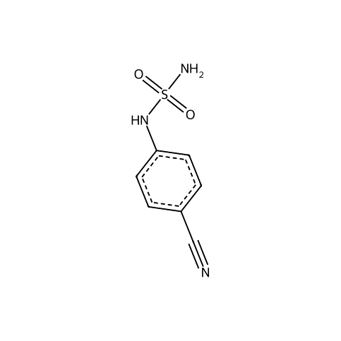 N#Cc1ccc(NS(N)(=O)=O)cc1